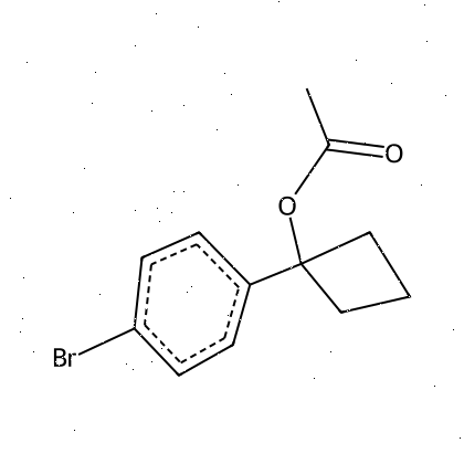 CC(=O)OC1(c2ccc(Br)cc2)CCC1